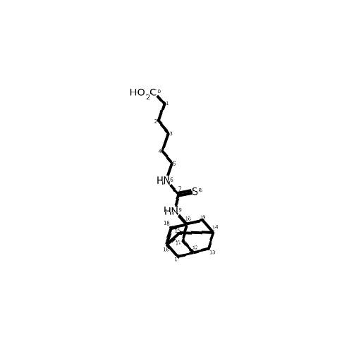 O=C(O)CCCCCNC(=S)NC12CC3CC(CC(C3)C1)C2